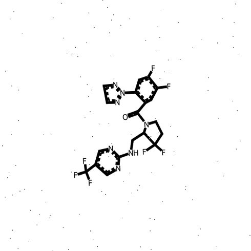 O=C(c1cc(F)c(F)cc1-n1nccn1)N1CCC(F)(F)C1CNc1ncc(C(F)(F)F)cn1